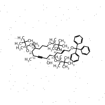 C[C@H](C=CCOC(c1ccccc1)(c1ccccc1)c1ccccc1)[C@H](C[C@H](O)C#C[C@H](C)[C@H](O[Si](C)(C)C(C)(C)C)[C@@H](C)CCCO[Si](C)(C)C(C)(C)C)O[Si](C)(C)C(C)(C)C